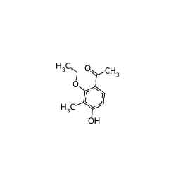 CCOc1c(C(C)=O)ccc(O)c1C